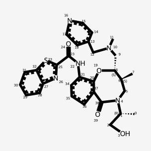 C[C@H](CO)N1C[C@H](C)[C@@H](CN(C)Cc2ccncc2)Oc2c(NC(=O)c3nc4ccccc4s3)cccc2C1=O